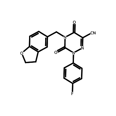 N#Cc1nn(-c2ccc(F)cc2)c(=O)n(Cc2ccc3c(c2)CCO3)c1=O